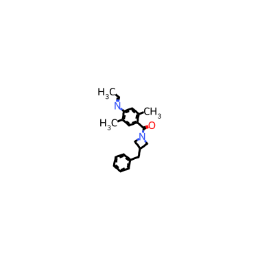 C/C=N/c1cc(C)c(C(=O)N2CC(Cc3ccccc3)C2)cc1C